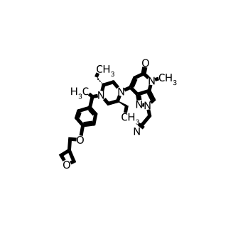 CC[C@H]1CN(C(C)c2ccc(OCC3COC3)cc2)[C@H](CC)CN1c1cc(=O)n(C)c2cn(CC#N)nc12